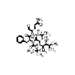 CC(C)C[C@H](NC(=O)[C@@H](N)C(C)C)C(=O)N(C(=O)OC(C)(C)C)[C@@H](Cc1ccccc1)C(=O)N[C@H](C=O)CCC(N)=O